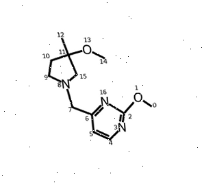 COc1nccc(CN2CCC(C)(OC)C2)n1